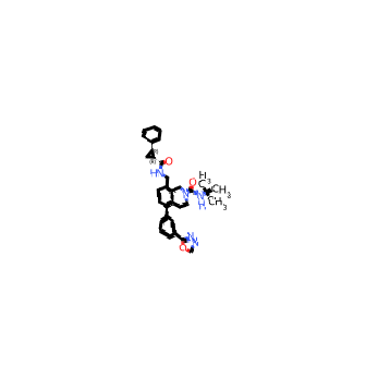 CC(C)(C)NC(=O)N1CCc2c(-c3cccc(-c4nnco4)c3)ccc(CNC(=O)[C@@H]3C[C@H]3c3ccccc3)c2C1